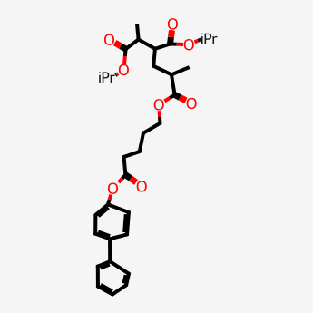 CC(C)OC(=O)C(C)C(CC(C)C(=O)OCCCCC(=O)Oc1ccc(-c2ccccc2)cc1)C(=O)OC(C)C